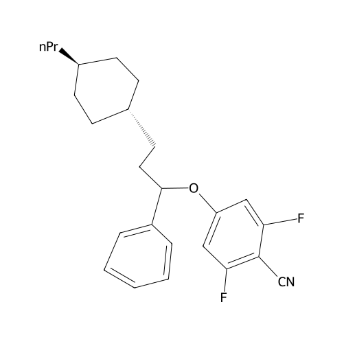 CCC[C@H]1CC[C@H](CCC(Oc2cc(F)c(C#N)c(F)c2)c2ccccc2)CC1